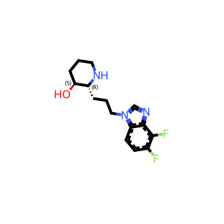 O[C@H]1CCCN[C@@H]1CCCn1cnc2c(F)c(F)ccc21